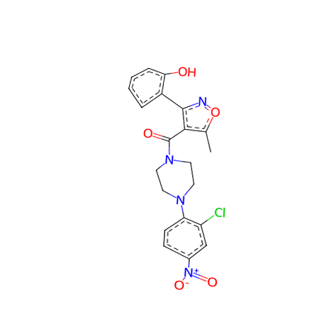 Cc1onc(-c2ccccc2O)c1C(=O)N1CCN(c2ccc([N+](=O)[O-])cc2Cl)CC1